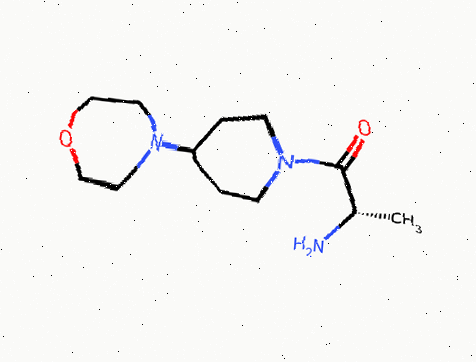 C[C@H](N)C(=O)N1CCC(N2CCOCC2)CC1